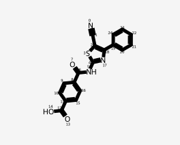 N#Cc1sc(NC(=O)c2ccc(C(=O)O)cc2)nc1-c1ccccc1